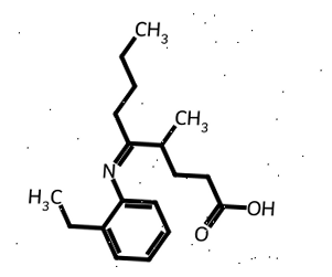 CCCCC(=Nc1ccccc1CC)C(C)CCC(=O)O